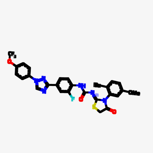 CCC(C)c1ccc(OC)cc1N1C(=O)CS/C1=N\C(=O)Nc1ccc(-c2ncn(-c3ccc(OC(F)(F)F)cc3)n2)cc1F